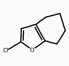 Clc1cc2c(o1)CCC[CH]2